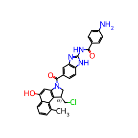 Cc1cccc2c(O)cc3c(c12)[C@H](CCl)CN3C(=O)c1ccc2[nH]c(NC(=O)c3ccc(N)cc3)nc2c1